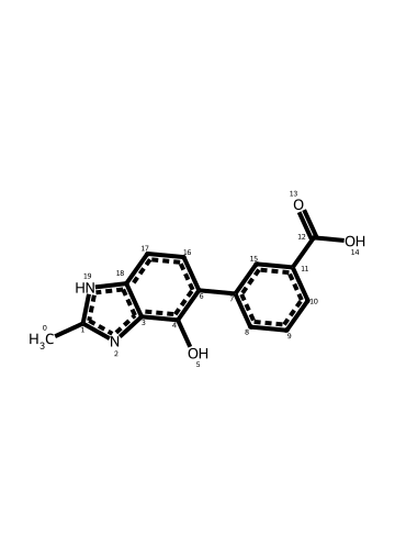 Cc1nc2c(O)c(-c3cccc(C(=O)O)c3)ccc2[nH]1